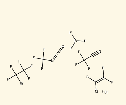 Br.FB(F)F.FC(F)(F)C(F)(F)Br.FC(F)=C(F)Cl.N#CC(F)(F)F.O=C=NC(F)(F)F